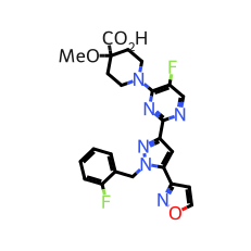 COC1(C(=O)O)CCN(c2nc(-c3cc(-c4ccon4)n(Cc4ccccc4F)n3)ncc2F)CC1